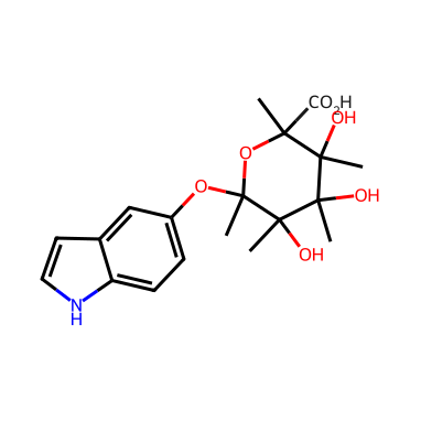 CC1(Oc2ccc3[nH]ccc3c2)OC(C)(C(=O)O)C(C)(O)C(C)(O)C1(C)O